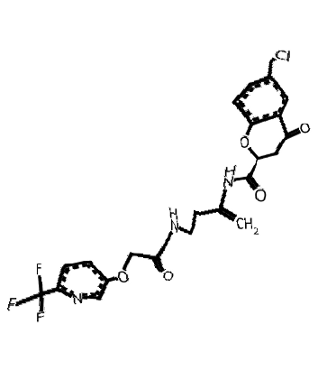 C=C(CCNC(=O)COc1ccc(C(F)(F)F)nc1)NC(=O)[C@@H]1CC(=O)c2cc(Cl)ccc2O1